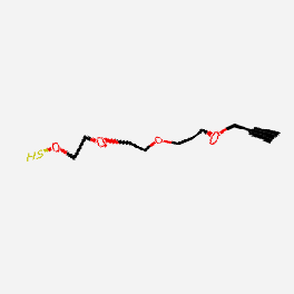 C#CCOCCOCCOCCOS